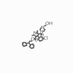 Cc1nc(C)c(C(=O)N2CCN(CCO)CC2)c(-c2cccc(Cl)c2)c1C(=O)OCCC(c1ccccc1)c1ccccc1